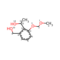 COCOc1cccc(CO)c1C(C)O